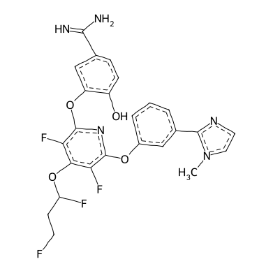 Cn1ccnc1-c1cccc(Oc2nc(Oc3cc(C(=N)N)ccc3O)c(F)c(OC(F)CCF)c2F)c1